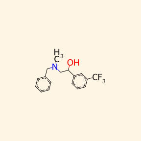 CN(Cc1ccccc1)CC(O)c1cccc(C(F)(F)F)c1